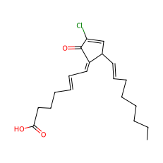 CCCCCCC=CC1C=C(Cl)C(=O)C1=CC=CCCCC(=O)O